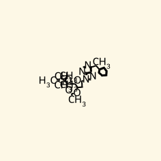 CC(=O)OC1CC(n2cnc3c(C(C)c4ccccc4)ncnc32)OC1CO[Si](C)(C)C(C)(C)C